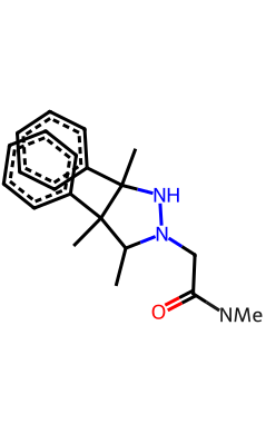 CNC(=O)CN1NC(C)(c2ccccc2)C(C)(c2ccccc2)C1C